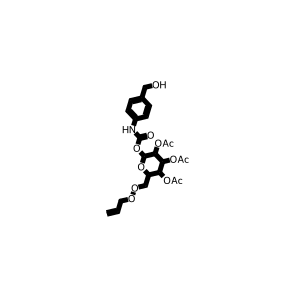 C=CCOOCC1OC(OC(=O)Nc2ccc(CO)cc2)C(OC(C)=O)C(OC(C)=O)C1OC(C)=O